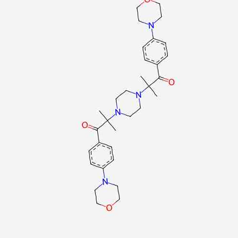 CC(C)(C(=O)c1ccc(N2CCOCC2)cc1)N1CCN(C(C)(C)C(=O)c2ccc(N3CCOCC3)cc2)CC1